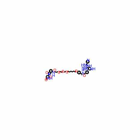 C[C@@H](NC(=O)c1cccc(NC2(C(=N)NC(=N)c3ccncc3)CCNCC2)c1)c1ccc(OCCCCCCOCCOCCOCCC(=O)Nc2cccc3c2CN(C2CCC(=O)NC2=O)C3=O)cc1